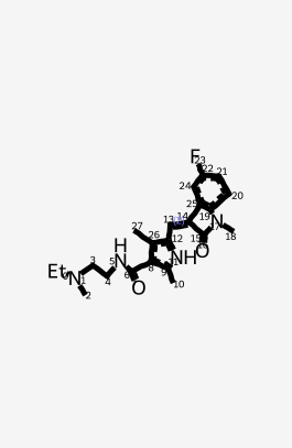 CCN(C)CCNC(=O)c1c(C)[nH]c(/C=C2\C(=O)N(C)c3ccc(F)cc32)c1C